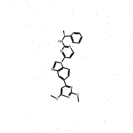 COc1cc(-c2ccc3c(c2)ncn3-c2ccnc(N[C@@H](C)c3ccccc3)n2)nc(OC)n1